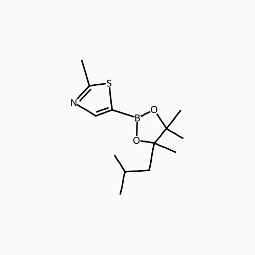 Cc1ncc(B2OC(C)(C)C(C)(CC(C)C)O2)s1